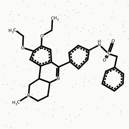 CCOc1cc2c(cc1OCC)C1CN(C)CCC1N=C2c1ccc(NS(=O)(=O)Cc2ccccc2)cc1